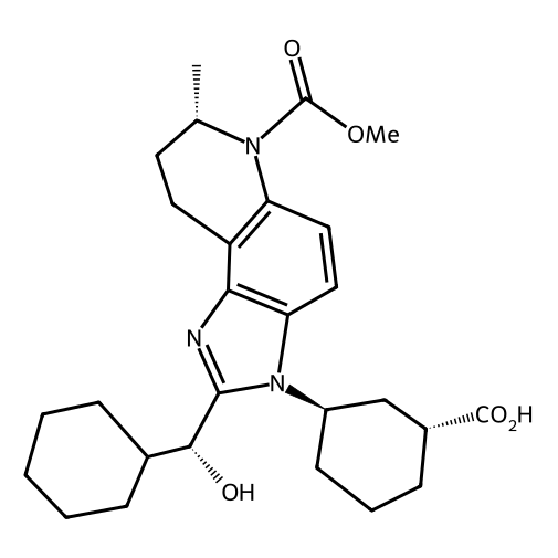 COC(=O)N1c2ccc3c(nc([C@H](O)C4CCCCC4)n3[C@@H]3CCC[C@@H](C(=O)O)C3)c2CC[C@@H]1C